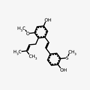 COc1cc(O)cc(C=Cc2ccc(O)c(SC)c2)c1CC=C(C)C